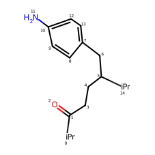 CC(C)C(=O)CCC(Cc1ccc(N)cc1)C(C)C